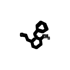 CC1CCCC(CC=O)N1Cc1ccccc1